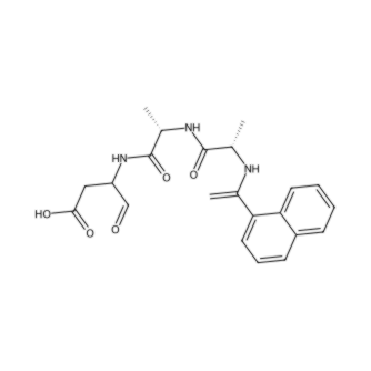 C=C(N[C@@H](C)C(=O)N[C@@H](C)C(=O)NC(C=O)CC(=O)O)c1cccc2ccccc12